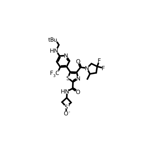 CC1CC(F)(F)CN1C(=O)c1nc(C(=O)NC2C[S+]([O-])C2)sc1-c1cnc(NCC(C)(C)C)cc1C(F)(F)F